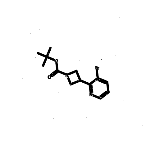 CC(C)(C)OC(=O)N1CC(c2ncccc2Br)C1